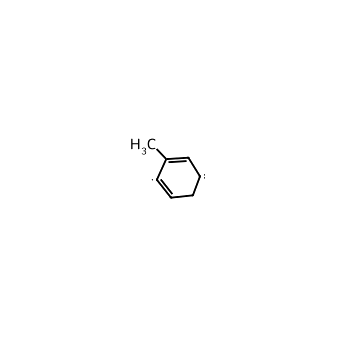 CC1=C[C]CC=[C]1